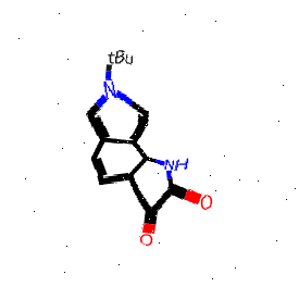 CC(C)(C)n1cc2c(c1)C1NC(=O)C(=O)C1C=C2